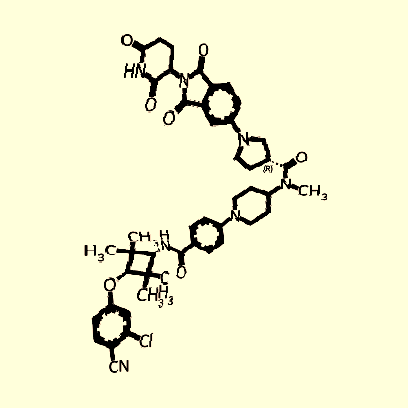 CN(C(=O)[C@@H]1CCN(c2ccc3c(c2)C(=O)N(C2CCC(=O)NC2=O)C3=O)C1)C1CCN(c2ccc(C(=O)N[C@H]3C(C)(C)[C@H](Oc4ccc(C#N)c(Cl)c4)C3(C)C)cc2)CC1